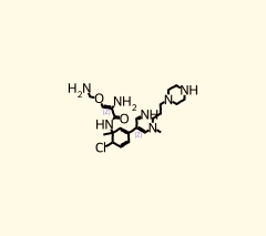 CN(/C=C(\C=N)C1=CC(C)(NC(=O)/C(N)=C/OCN)C(Cl)C=C1)CCCN1CCNCC1